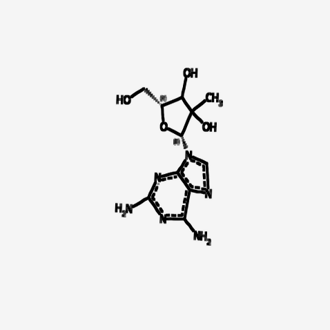 CC1(O)C(O)[C@@H](CO)O[C@H]1n1cnc2c(N)nc(N)nc21